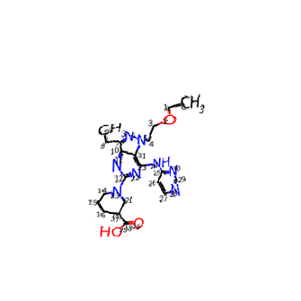 CCOCCn1nc(CC)c2nc(N3CCC[C@H](C(=O)O)C3)nc(Nc3ccncn3)c21